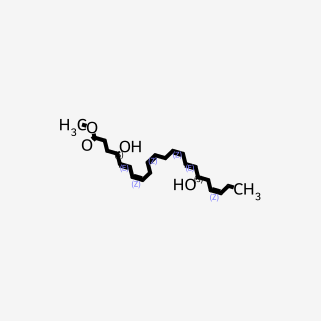 CC/C=C\C[C@H](O)/C=C/C=C\C/C=C\C/C=C\C=C\[C@@H](O)CCC(=O)OC